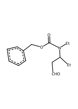 CCC(CC=O)N(CC)C(=O)OCc1ccccc1